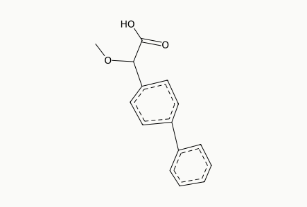 COC(C(=O)O)c1ccc(-c2ccccc2)cc1